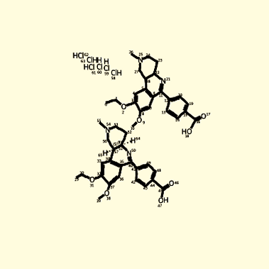 CCOc1cc2c(cc1OC)C(c1ccc(C(=O)O)cc1)=NC1CCN(C)CC21.CCOc1cc2c(cc1OC)C(c1ccc(C(=O)O)cc1)=N[C@@H]1CCN(C)C[C@H]21.Cl.Cl.Cl.Cl.Cl.Cl